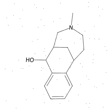 CN1CCC2CC(C1)C(O)c1ccccc12